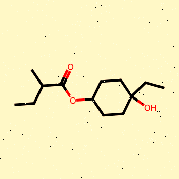 CCC(C)C(=O)OC1CCC(O)(CC)CC1